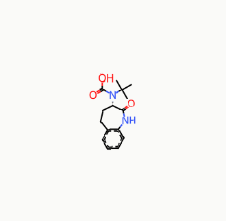 CC(C)(C)N(C(=O)O)[C@H]1CCc2ccccc2NC1=O